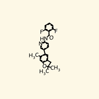 Cc1cc2c(cc1-c1ccc(NC(=O)c3c(F)cccc3F)nc1)CC(C)(C)O2